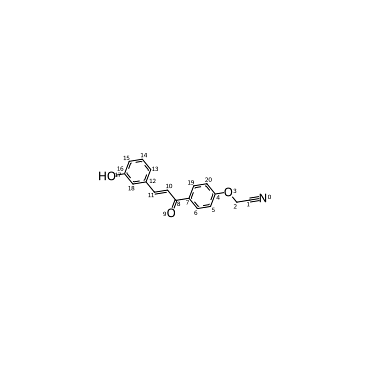 N#CCOc1ccc(C(=O)/C=C/c2cccc(O)c2)cc1